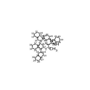 CC1Cc2c(c(-c3ccc4ccccc4c3)c3ccccc3c2-c2ccc3ccccc3c2)C=C1C1Nc2ccccc2N1c1ccccc1